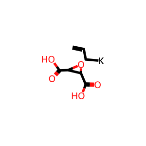 C=C[CH2][K].O=C(O)C1OC1C(=O)O